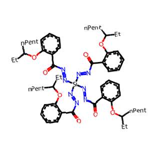 CCCCCC(CC)Oc1ccccc1C(=O)N=N[Si](N=NC(=O)c1ccccc1OC(CC)CCCCC)(N=NC(=O)c1ccccc1OC(CC)CCCCC)N=NC(=O)c1ccccc1OC(CC)CCCCC